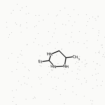 CCC1NCC(C)NN1